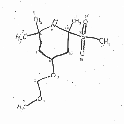 COCOC1CC(C)(C)NC(C)(S(C)(=O)=O)C1